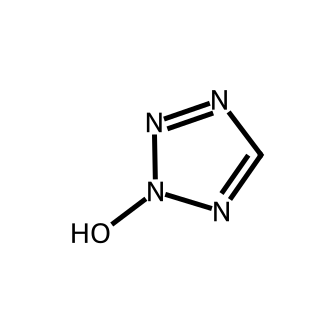 On1ncnn1